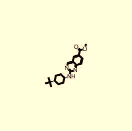 COC(=O)c1ccc2nc(N[C@H]3CC[C@H](C(C)(C)C)CC3)ncc2c1